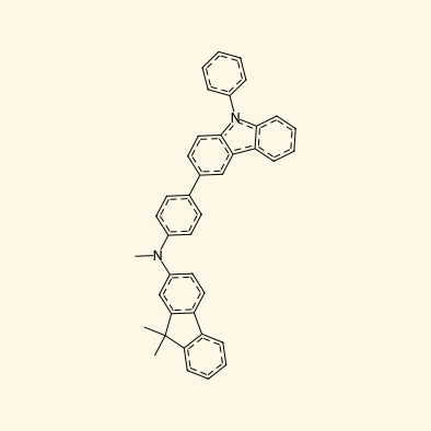 CN(c1ccc(-c2ccc3c(c2)c2ccccc2n3-c2ccccc2)cc1)c1ccc2c(c1)C(C)(C)c1ccccc1-2